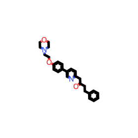 O=C(CCc1ccccc1)Cc1ccc(-c2ccc(OCCN3CCOCC3)cc2)cn1